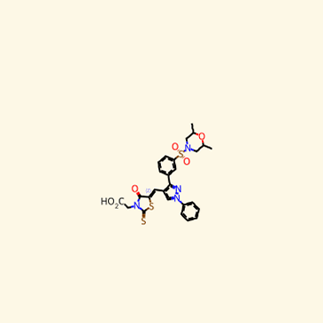 CC1CN(S(=O)(=O)c2cccc(-c3nn(-c4ccccc4)cc3/C=C3\SC(=S)N(CC(=O)O)C3=O)c2)CC(C)O1